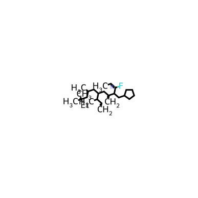 C=CC(C)C(CC(=C)C(CC1CCCC1)/C(F)=C\C)CC(C)CC(C)(C)CC